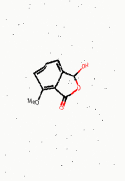 COc1cccc2c1C(=O)OC2O